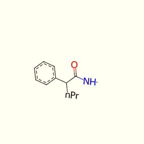 CCCC(C([NH])=O)c1ccccc1